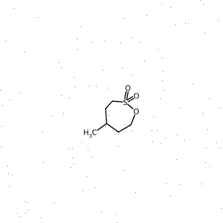 CC1CCOS(=O)(=O)CC1